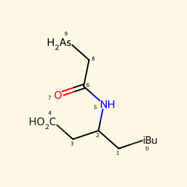 CCC(C)CC(CC(=O)O)NC(=O)C[AsH2]